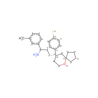 Cc1cccc(C(N)CC[C@@]2(c3ccc(F)cc3)CCOC3(CCCC3)C2)c1